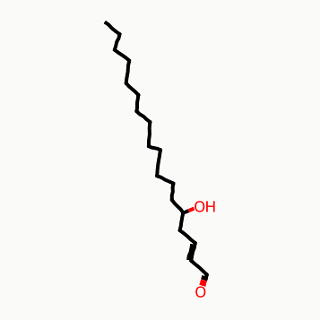 CCCCCCCCCCCCCC(O)CC=CC=O